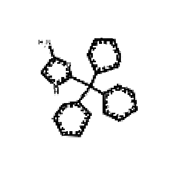 Nc1c[nH]c(C(c2ccccc2)(c2ccccc2)c2ccccc2)n1